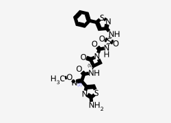 CO/N=C(\C(=O)N[C@H]1CN(C(=O)NS(=O)(=O)Nc2cc(-c3ccccc3)sn2)C1=O)c1csc(N)n1